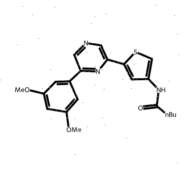 CCCCC(=O)Nc1csc(-c2cncc(-c3cc(OC)cc(OC)c3)n2)c1